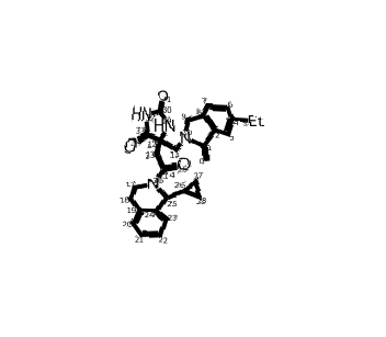 C=C1c2cc(CC)ccc2CN1CC1(CC(=O)N2CCc3ccccc3C2C2CC2)NC(=O)NC1=O